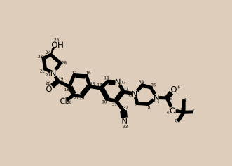 CC(C)(C)OC(=O)N1CCN(c2ncc(-c3ccc(C(=O)N4CC[C@@H](O)C4)c(Cl)c3)cc2C#N)CC1